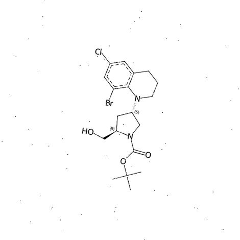 CC(C)(C)OC(=O)N1C[C@@H](N2CCCc3cc(Cl)cc(Br)c32)C[C@@H]1CO